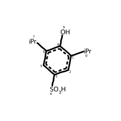 CC(C)c1cc(S(=O)(=O)O)cc(C(C)C)c1O